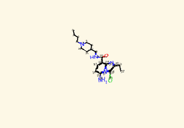 CCCCN1CCC(CNC(=O)c2ccc(N)n3c(Cl)c(CC)nc23)CC1